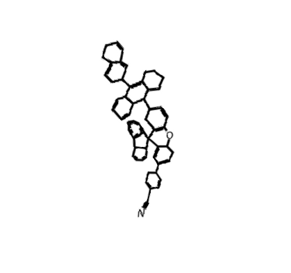 N#CC1=CCC(C2=CCC3OC4=C(CC(C5C6CCCCC6=C(C6C=C7C=CCCC7=CC6)C6C=CC=CC65)C=C4)C4(C3=C2)c2ccccc2C2C=CC=CC24)C=C1